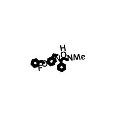 CNCC(O)C(c1ccccc1)n1ccc2cc(OCc3ccccc3F)ccc21